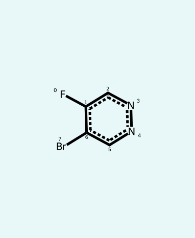 Fc1[c]nncc1Br